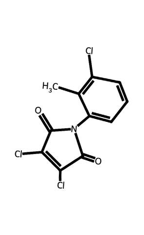 Cc1c(Cl)cccc1N1C(=O)C(Cl)=C(Cl)C1=O